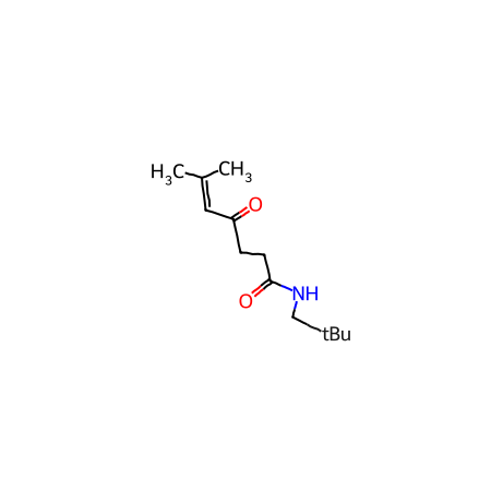 CC(C)=CC(=O)CCC(=O)NCC(C)(C)C